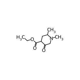 CCOC(=O)C1CC(C)N(C)CC1=O